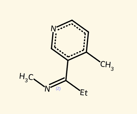 CC/C(=N/C)c1cnccc1C